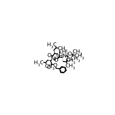 CC(C)C[C@H](C(=O)N[C@H](CC(C)C)C(=O)OCc1ccccc1)N(C)C(=O)[C@@H](CC(C)C)NC(=O)OC(C)(C)C